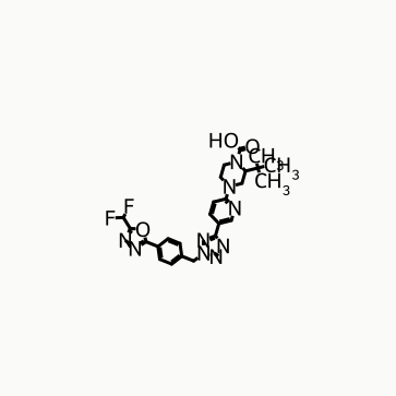 CC(C)(C)C1CN(c2ccc(-c3nnn(Cc4ccc(-c5nnc(C(F)F)o5)cc4)n3)cn2)CCN1C(=O)O